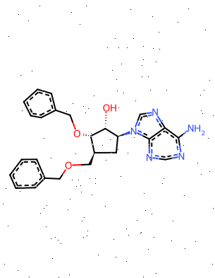 Nc1ncnc2c1ncn2[C@H]1C[C@@H](COCc2ccccc2)[C@H](OCc2ccccc2)[C@@H]1O